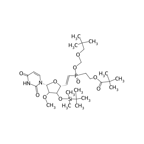 COC1C(O[Si](C)(C)C(C)(C)C)[C@@H](/C=C/P(=O)(CCOC(=O)C(C)(C)C)OCOCC(C)(C)C)O[C@H]1n1ccc(=O)[nH]c1=O